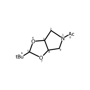 CC(=O)N1CC2OC(C(C)(C)C)OC2C1